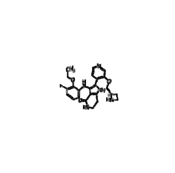 CCOc1c(F)cccc1Nc1c(-c2ccncc2OC[C@H]2CCN2)[nH]c2c1C(=O)NCC2